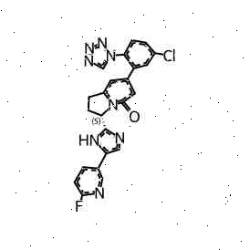 O=c1cc(-c2cc(Cl)ccc2-n2cnnn2)cc2n1[C@H](c1ncc(-c3ccc(F)nc3)[nH]1)CC2